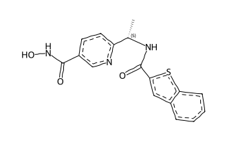 C[C@H](NC(=O)c1cc2ccccc2s1)c1ccc(C(=O)NO)cn1